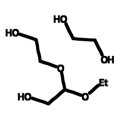 CCOC(CO)OCCO.OCCO